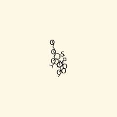 CCOC(=O)c1cc2c(n(C3CCC3)c1=O)C1=C(C=C(OCCCOC)CC(SC)=C1)OC2C(C)C